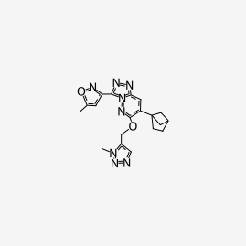 Cc1cc(-c2nnc3cc(C45CCC(C4)C5)c(OCc4cnnn4C)nn23)no1